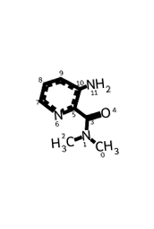 CN(C)C(=O)c1ncccc1N